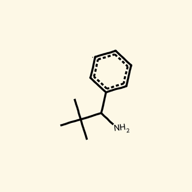 CC(C)(C)C(N)c1c[c]ccc1